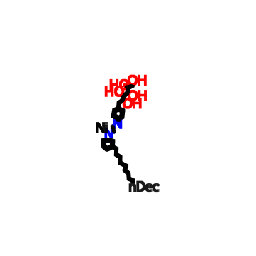 CCCCCCCCCCCCCCCCCCCc1cccc(N=CC=Nc2ccc(CC(O)C(O)C(O)C(O)CO)cc2)c1.[Ni]